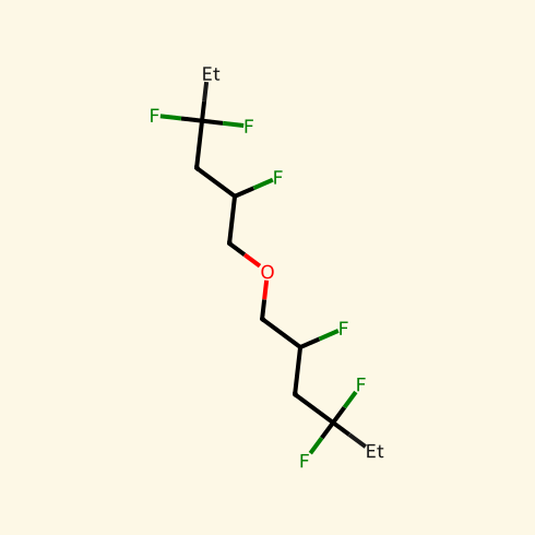 CCC(F)(F)CC(F)COCC(F)CC(F)(F)CC